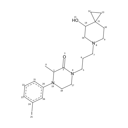 CC1C(=O)N(CCCN2CCC3(CC3)C(O)C2)CCN1c1cccc(I)c1